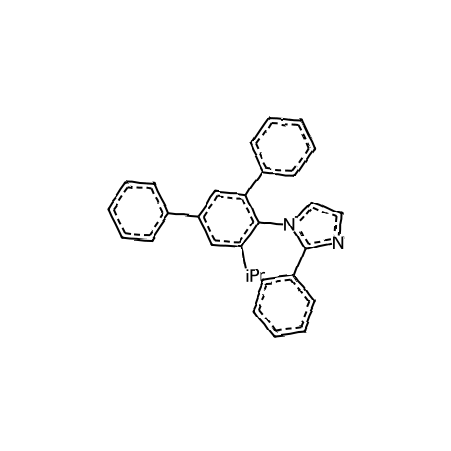 CC(C)c1cc(-c2ccccc2)cc(-c2ccccc2)c1-n1ccnc1-c1ccccc1